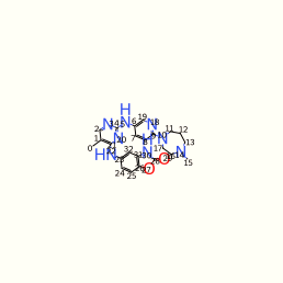 Cc1cnc(Nc2ccc(N3CCCN(C)CC3)nc2)nc1Nc1ccc2oc(=O)[nH]c2c1